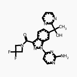 CC(O)(c1ccc2c(C(=O)N3CC(F)(F)C3)nn(-c3ccnc(N)n3)c2c1)c1ncccn1